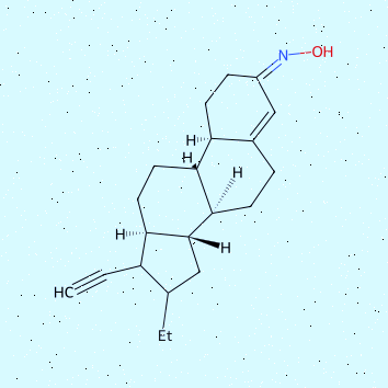 C#CC1C(CC)C[C@H]2[C@@H]3CCC4=CC(=NO)CC[C@@H]4[C@H]3CC[C@H]12